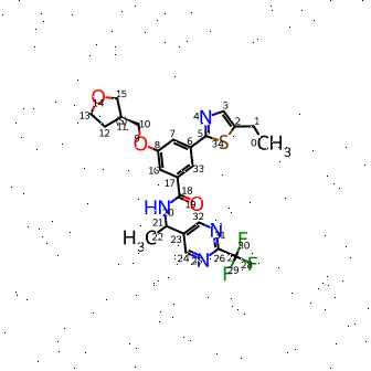 CCc1cnc(-c2cc(OC[C@H]3CCOC3)cc(C(=O)NC(C)c3cnc(C(F)(F)F)nc3)c2)s1